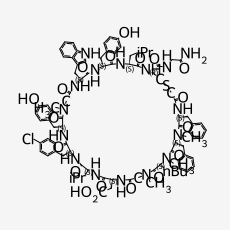 CCCC[C@H]1C(=O)N(C)CC(=O)N[C@@H](CC(=O)O)C(=O)N[C@@H](C(C)C)C(=O)N[C@@H](Cc2ccc(Cl)cc2)C(=O)N[C@@H](Cc2ccc(O)cc2)C(=O)N(C)CC(=O)N[C@@H](Cc2c[nH]c3ccccc23)C(=O)N[C@@H](Cc2ccc(O)cc2)C(=O)N[C@@H](CC(C)C)C(=O)N[C@H](C(=O)NCC(N)=O)CSCC(=O)N[C@@H](Cc2ccccc2)C(=O)N(C)[C@@H](Cc2ccccc2)C(=O)N1C